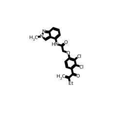 C=C(CC)C(=O)c1ccc(OCC(=O)Nc2cccc3nn(C)cc23)c(Cl)c1Cl